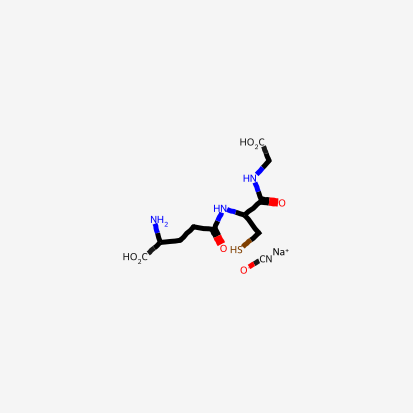 N#C[O-].NC(CCC(=O)NC(CS)C(=O)NCC(=O)O)C(=O)O.[Na+]